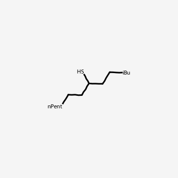 CCCCCCCC(S)CCC(C)CC